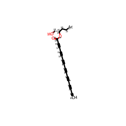 C#CC#CC#CC#CC#CC#CC#CC(=O)O[C@H](CO)CCC(C)=O